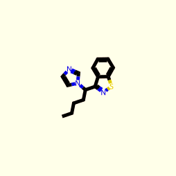 CCCCC(c1nsc2ccccc12)n1ccnc1